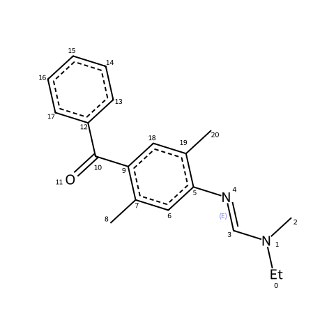 CCN(C)/C=N/c1cc(C)c(C(=O)c2ccccc2)cc1C